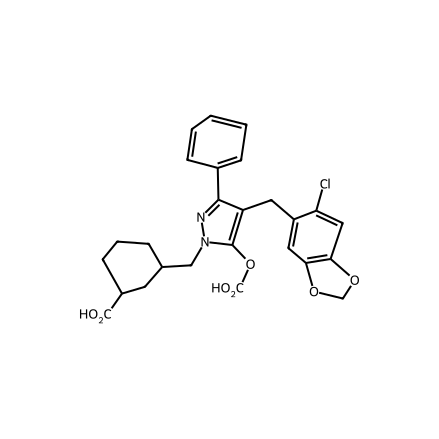 O=C(O)Oc1c(Cc2cc3c(cc2Cl)OCO3)c(-c2ccccc2)nn1CC1CCCC(C(=O)O)C1